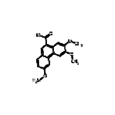 COc1cc2c(C(=O)O)cc3ccc(O[SiH3])cc3c2cc1OC